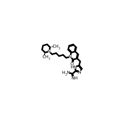 C[C@H]1CCC[C@H](C)N1CCCCCn1c(=O)c(Cc2cnc(C(=N)N)[nH]2)cc2ccccc21